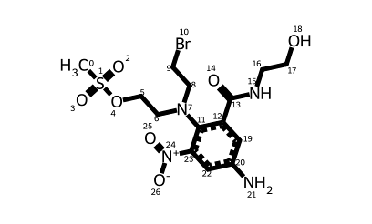 CS(=O)(=O)OCCN(CCBr)c1c(C(=O)NCCO)cc(N)cc1[N+](=O)[O-]